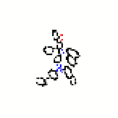 c1ccc(-c2ccc(N(c3ccc4ccccc4c3)c3ccc4c5c(-c6ccccc6)c6c(cc5n(-c5cccc7ccccc57)c4c3)oc3ccccc36)cc2)cc1